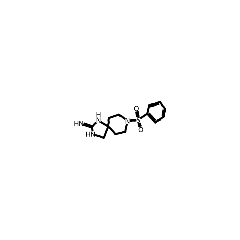 N=C1NCC2(CCN(S(=O)(=O)c3ccccc3)CC2)N1